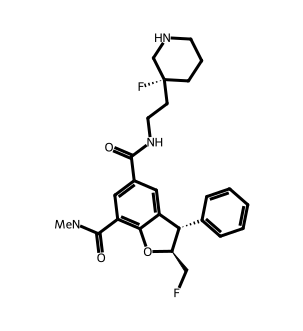 CNC(=O)c1cc(C(=O)NCC[C@]2(F)CCCNC2)cc2c1O[C@H](CF)[C@H]2c1ccccc1